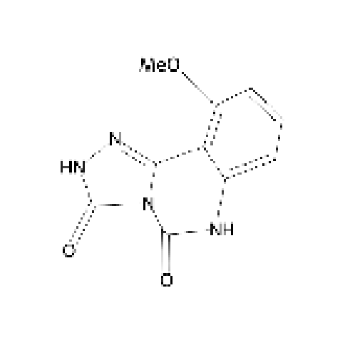 COc1cccc2[nH]c(=O)n3c(=O)[nH]nc3c12